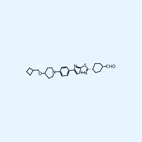 O=C[C@H]1CC[C@H](c2nn3cc(-c4ccc(N5CCC(OCC6CCC6)CC5)cc4)nc3s2)CC1